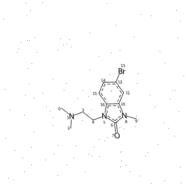 CN(C)CCn1c(=O)n(C)c2cc(Br)ccc21